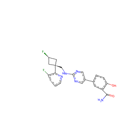 NC(=O)c1cc(-c2cnc(NC[C@]3(c4ncccc4F)C[C@H](F)C3)nc2)ccc1O